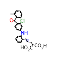 Cc1ccccc1C(=O)c1ccc(Nc2ccccc2/C=C/CC(C(=O)O)C(=O)O)cc1Cl